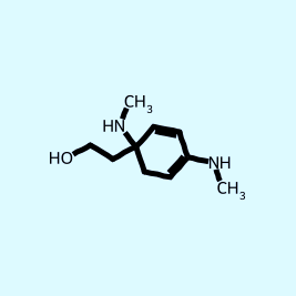 CNC1=CCC(CCO)(NC)C=C1